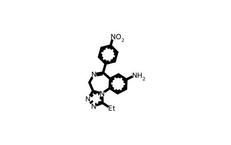 CCc1nnc2n1-c1ccc(N)cc1C(c1ccc([N+](=O)[O-])cc1)=NC2